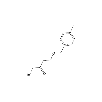 Cc1ccc(COCCC(=O)CBr)cc1